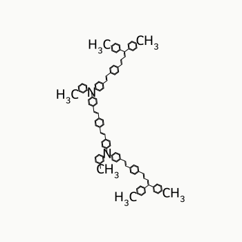 Cc1ccc(C(=C/C=C/c2ccc(/C=C/c3ccc(N(c4ccc(/C=C/c5ccc(/C=C/c6ccc(N(c7ccc(/C=C/c8ccc(/C=C/C=C(c9ccc(C)cc9)c9ccc(C)cc9)cc8)cc7)c7cccc(C)c7)cc6)cc5)cc4)c4cccc(C)c4)cc3)cc2)c2ccc(C)cc2)cc1